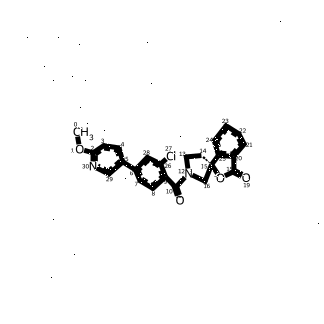 COc1ccc(-c2ccc(C(=O)N3CC[C@@]4(C3)OC(=O)c3ccccc34)c(Cl)c2)cn1